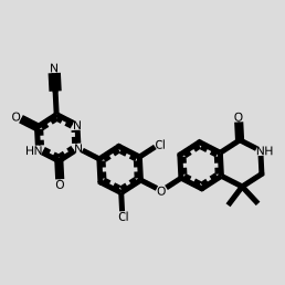 CC1(C)CNC(=O)c2ccc(Oc3c(Cl)cc(-n4nc(C#N)c(=O)[nH]c4=O)cc3Cl)cc21